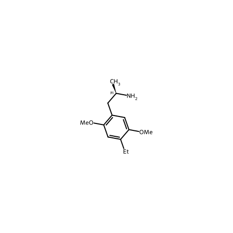 CCc1cc(OC)c(C[C@@H](C)N)cc1OC